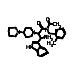 CC(=O)N(Cc1ccccc1C)C(=O)C(C(N)c1c[nH]c2ccccc12)N1CCC(N2CCCCC2)CC1